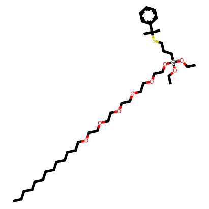 CCCCCCCCCCCCCOCCOCCOCCOCCOCCO[Si](CCCSC(C)(C)c1ccccc1)(OCC)OCC